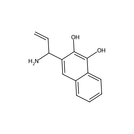 C=CC(N)c1cc2ccccc2c(O)c1O